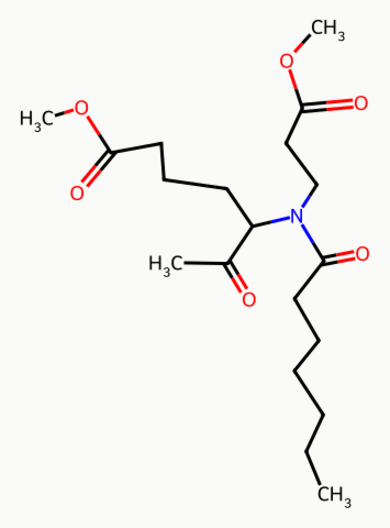 CCCCCCC(=O)N(CCC(=O)OC)C(CCCC(=O)OC)C(C)=O